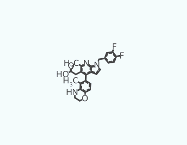 Cc1nc2c(ccn2Cc2ccc(F)c(F)c2)c(-c2ccc3c(c2C)NCCO3)c1CC(=O)O